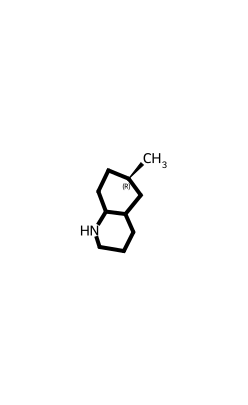 C[C@@H]1CCC2NCCCC2C1